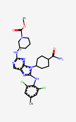 CC(C)OC(=O)N1CCC[C@@H](Nc2ncc3nc(Nc4c(Cl)cc(C#N)cc4Cl)n(C4CCC(C(N)=O)CC4)c3n2)C1